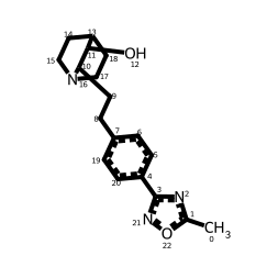 Cc1nc(-c2ccc(CCC3C(O)C4CCN3CC4)cc2)no1